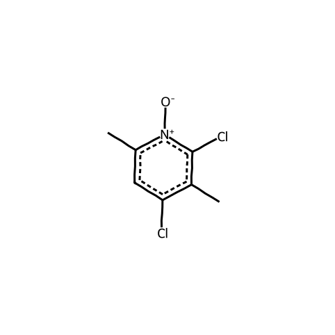 Cc1c(Cl)cc(C)[n+]([O-])c1Cl